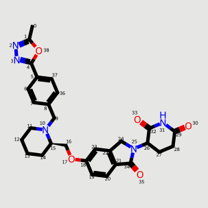 Cc1nnc(-c2ccc(CN3CCCC[C@@H]3COc3ccc4c(c3)CN(C3CCC(=O)NC3=O)C4=O)cc2)o1